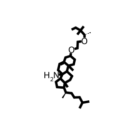 CCC(C)(C)[C@H](C)OCCOC1CCC2(C)C(=CCC3(N)C2CCC2(C)C([C@H](C)CCCC(C)C)CCC23)C1